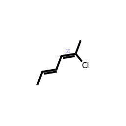 CC=C/[C]=C(/C)Cl